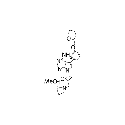 COC(=O)[C@H]1CCCN1CC1CC(n2cc(-c3cccc(OCC4CCCCO4)c3)c3c(N)ncnc32)C1